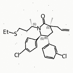 C=CC[C@@]1(C)C[C@H](c2cccc(Cl)c2)[C@@H](c2ccc(Cl)cc2)N([C@@H](C)CCSCC)C1=O